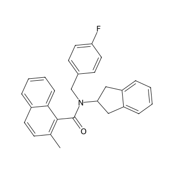 Cc1ccc2ccccc2c1C(=O)N(Cc1ccc(F)cc1)C1Cc2ccccc2C1